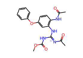 COC(=O)N/C(=N/C(C)=O)Nc1cc(Oc2ccccc2)ccc1NC(C)=O